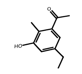 CCc1cc(O)c(C)c(C(C)=O)c1